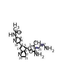 C=C(COc1cc(-c2ccc(NC(C)=O)nc2)cc2ncccc12)/C(=C\C=C/N)C(N)=O